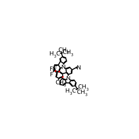 Cc1cc(-c2c(-n3c4ccccc4c4cc(C(C)(C)C)ccc43)cc(C#N)cc2-n2c3ccccc3c3cc(C(C)(C)C)ccc32)cc(C(F)(F)F)c1